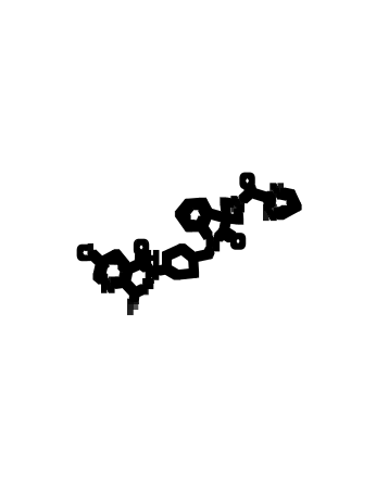 O=C(NC1CCC(CN2C(=O)C3(CN(C(=O)c4ncccn4)C3)c3ccccc32)CC1)c1cc(Cl)cnc1C(F)F